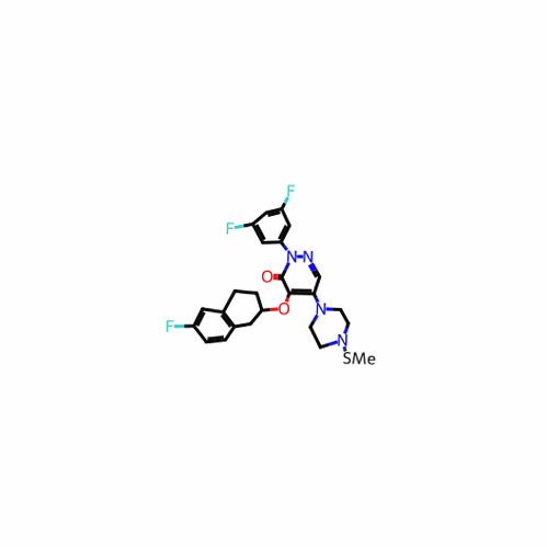 CSN1CCN(c2cnn(-c3cc(F)cc(F)c3)c(=O)c2OC2CCc3cc(F)ccc3C2)CC1